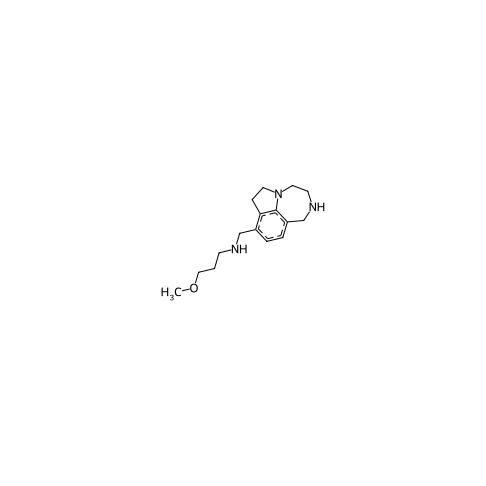 COCCCNCc1ccc2c3c1CCN3CCNC2